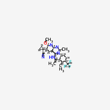 COc1nc2nc(C)nc(N[C@H](C)c3cccc(C(F)(F)F)c3C)c2cc1C1(C#N)CC1